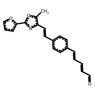 Cc1oc(-c2ccco2)nc1/C=C/c1ccc(/C=C/C=C/C=O)cc1